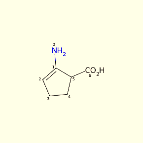 NC1=CCCC1C(=O)O